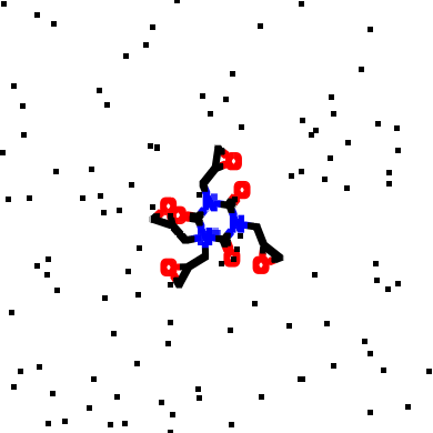 O=C1N(CC2CO2)C(=O)[N+](CC2CO2)(CC2CO2)C(=O)N1CC1CO1